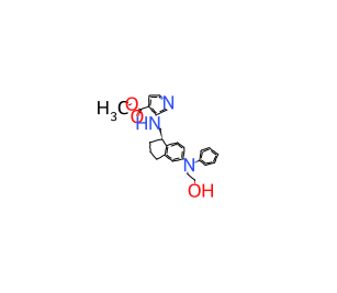 COC(=O)c1ccncc1NC[C@@H]1CCCc2cc(N(CCO)c3ccccc3)ccc21